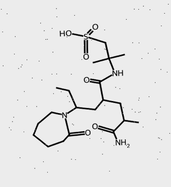 CCC(CC(CC(C)C(N)=O)C(=O)NC(C)(C)CS(=O)(=O)O)N1CCCCCC1=O